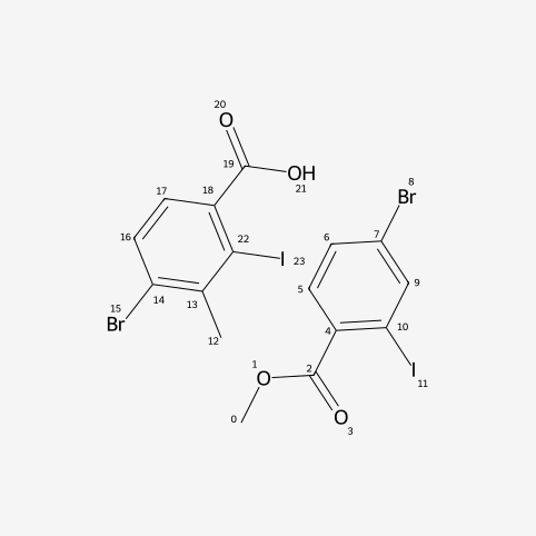 COC(=O)c1ccc(Br)cc1I.Cc1c(Br)ccc(C(=O)O)c1I